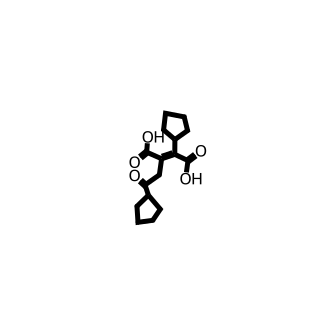 O=C(O)/C(CC(=O)C1CCCC1)=C(/C(=O)O)C1CCCC1